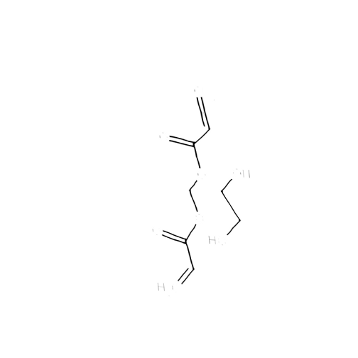 C=CC(=O)OCOC(=O)C=C.OCCO